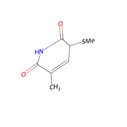 CSC1C=C(C)C(=O)NC1=O